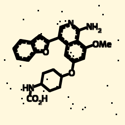 COc1cc(OC2CCC(NC(=O)O)CC2)cc2c(-c3cc4ccccc4o3)cnc(N)c12